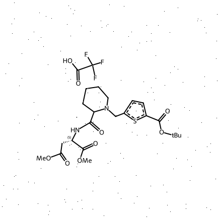 COC(=O)C[C@H](NC(=O)C1CCCCN1Cc1ccc(C(=O)OC(C)(C)C)s1)C(=O)OC.O=C(O)C(F)(F)F